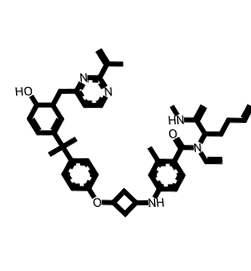 C=CCCC(C(=C)NC)N(C=C)C(=O)c1ccc(NC2CC(Oc3ccc(C(C)(C)C4=CC(Cc5ccnc(C(=C)C)n5)C(O)C=C4)cc3)C2)cc1C